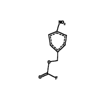 O=C(F)OCc1ccc([N+](=O)[O-])cc1